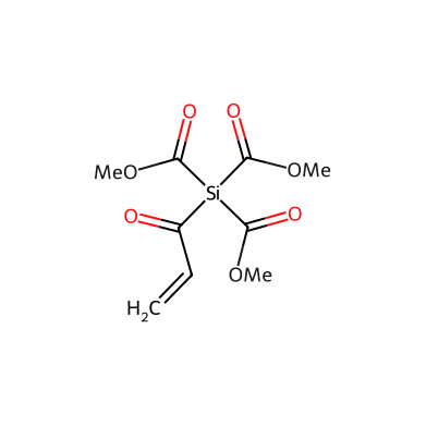 C=CC(=O)[Si](C(=O)OC)(C(=O)OC)C(=O)OC